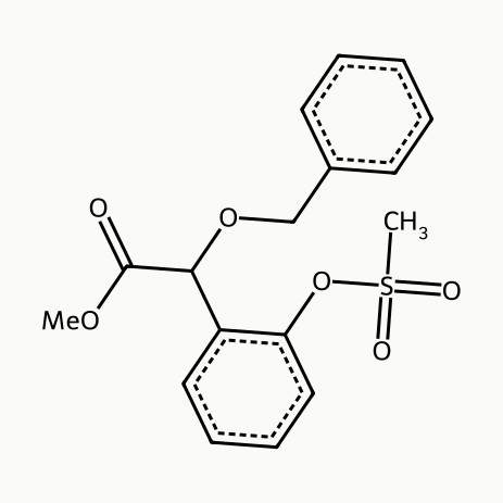 COC(=O)C(OCc1ccccc1)c1ccccc1OS(C)(=O)=O